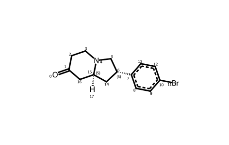 O=C1CCN2C[C@H](c3ccc(Br)cc3)C[C@H]2C1